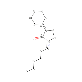 CCCCC/C=C1/CCC(=C2CCCCC2)C1=O